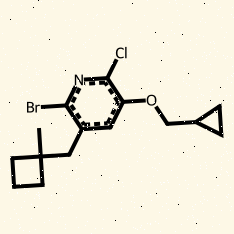 CC1(Cc2cc(OCC3CC3)c(Cl)nc2Br)CCC1